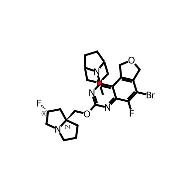 CN1CC2CCC(C1)N2c1nc(OC[C@@]23CCCN2C[C@H](F)C3)nc2c(F)c(Br)c3c(c12)COC3